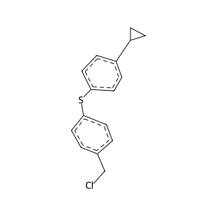 ClCc1ccc(Sc2ccc(C3CC3)cc2)cc1